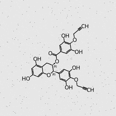 C#CCOc1c(O)cc(C(=O)O[C@@H]2Cc3c(O)cc(O)cc3O[C@@H]2c2cc(O)c(OCC#C)c(O)c2)cc1O